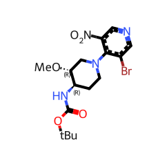 CO[C@@H]1CN(c2c(Br)cncc2[N+](=O)[O-])CC[C@H]1NC(=O)OC(C)(C)C